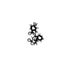 CC(C)(C)N(C[C@H](c1ccccc1)N1Cc2cc(Br)ccc2C1=O)C(=O)O